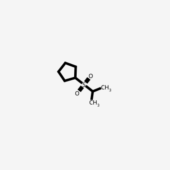 CC(C)S(=O)(=O)C1CCCC1